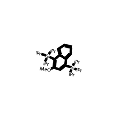 COc1cc([Si](C(C)C)(C(C)C)C(C)C)c2ccccc2c1[Si](C(C)C)(C(C)C)C(C)C